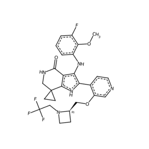 COc1c(F)cccc1Nc1c(-c2ccncc2OC[C@H]2CCN2CC(F)(F)F)[nH]c2c1C(=O)NCC21CC1